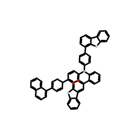 C1=CC(c2ccc(N(c3ccc(-c4cccc5c4oc4ccccc45)cc3)c3ccccc3-c3ccc4sc5ccccc5c4c3)cc2)CC=C1c1cccc2ccccc12